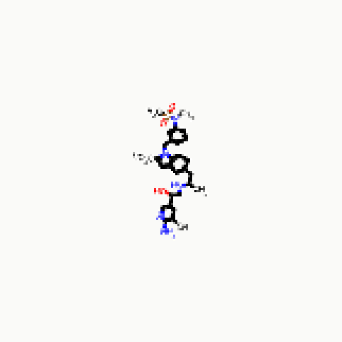 CC(Cc1ccc2c(c1)cc(C(=O)O)n2Cc1cccc(N(C)S(C)(=O)=O)c1)NCC(O)c1cnc(N)c(C#N)c1